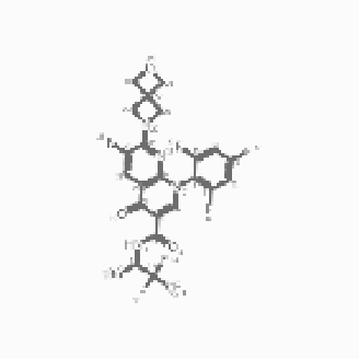 CC(C)(C)C(NC(=O)c1cn(-c2c(F)cc(F)cc2F)c2nc(N3CC4(COC4)C3)c(F)cc2c1=O)C(F)(F)C(F)(F)F